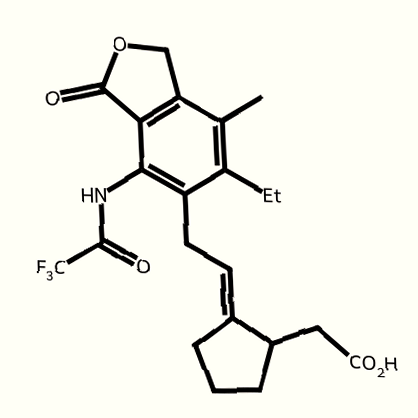 CCc1c(C)c2c(c(NC(=O)C(F)(F)F)c1CC=C1CCCC1CC(=O)O)C(=O)OC2